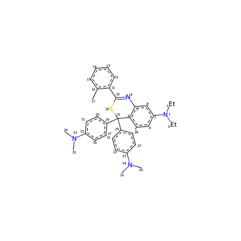 CCN(CC)c1ccc2c(c1)N=C(c1ccccc1C)SC2(c1ccc(N(C)C)cc1)c1ccc(N(C)C)cc1